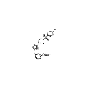 COc1cccc(Cc2csc(N3CCC(S(=O)(=O)c4ccc(F)cc4F)CC3)n2)c1